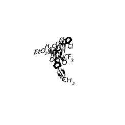 CCOC(=O)n1nc(NC(=O)c2ccc(N3CCN(C)CC3)cc2N(CCOC)C(=O)C(F)(F)F)c2c1C(C)(C)N(C(=O)Nc1c(Cl)cccc1Cl)C2